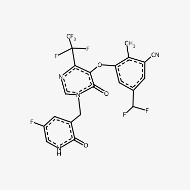 Cc1c(C#N)cc(C(F)F)cc1Oc1c(C(F)(F)C(F)(F)F)ncn(Cc2cc(F)c[nH]c2=O)c1=O